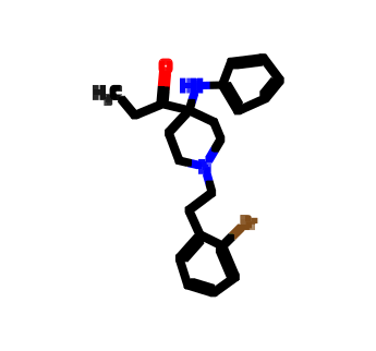 CCC(=O)C1(Nc2ccccc2)CCN(CCc2ccccc2Br)CC1